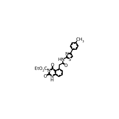 CCOC(=O)n1c(=O)[nH]c2cccc(CC(=O)Nc3nc(-c4ccc(C)cc4)cs3)c2c1=O